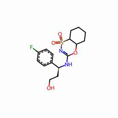 O=S1(=O)N=C(N[C@@H](CCO)c2ccc(F)cc2)OC2CCCCC21